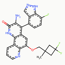 CC1(COc2cc3c(-c4ccc(F)c5[nH]ncc45)c(N)c(=O)[nH]c3c3cccnc23)CC(F)(F)C1